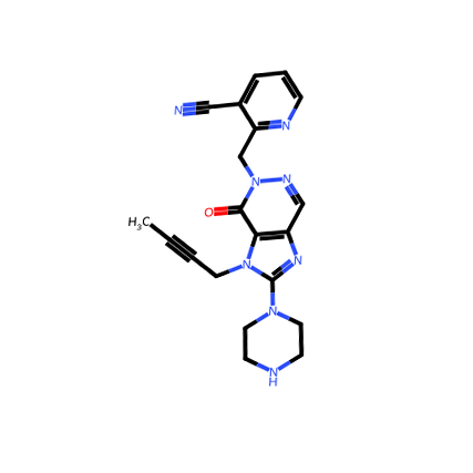 CC#CCn1c(N2CCNCC2)nc2cnn(Cc3ncccc3C#N)c(=O)c21